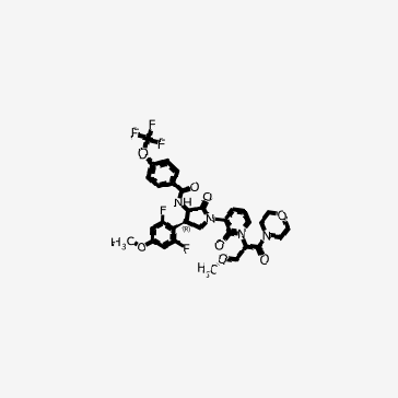 COCC(C(=O)N1CCOCC1)n1cccc(N2C[C@@H](c3c(F)cc(OC)cc3F)C(NC(=O)c3ccc(OC(F)(F)F)cc3)C2=O)c1=O